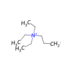 [CH2]CC[N+](CC)(CC)CC